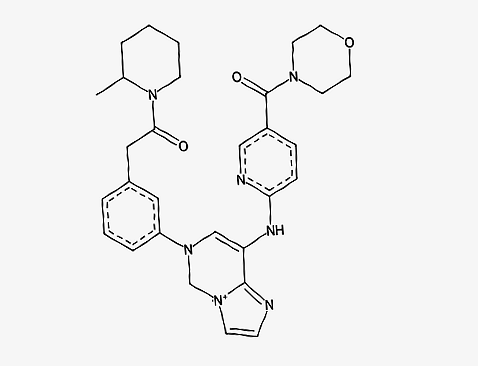 CC1CCCCN1C(=O)Cc1cccc(N2C=C(Nc3ccc(C(=O)N4CCOCC4)cn3)C3=NC=C[N+]3C2)c1